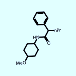 CCCC(C(=O)NC1CCC(OC)CC1)c1ccccc1